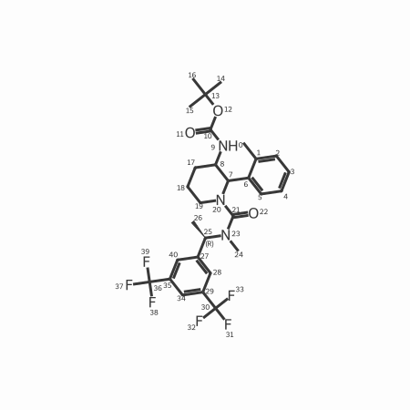 Cc1ccccc1C1C(NC(=O)OC(C)(C)C)CCCN1C(=O)N(C)[C@H](C)c1cc(C(F)(F)F)cc(C(F)(F)F)c1